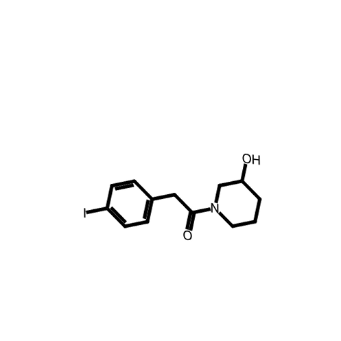 O=C(Cc1ccc(I)cc1)N1CCCC(O)C1